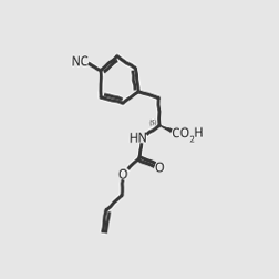 C=CCOC(=O)N[C@@H](Cc1ccc(C#N)cc1)C(=O)O